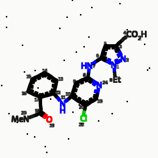 CCn1nc(C(=O)O)cc1Nc1cc(Nc2ccccc2C(=O)NC)c(Cl)cn1